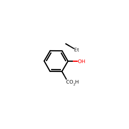 CCC.O=C(O)c1ccccc1O